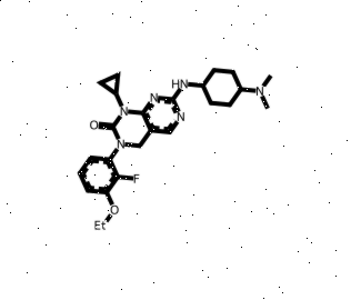 CCOc1cccc(N2Cc3cnc(NC4CCC(N(C)C)CC4)nc3N(C3CC3)C2=O)c1F